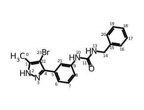 Cc1[nH]nc(-c2cccc(NC(=O)NCc3ccccc3)c2)c1Br